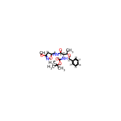 COC1=NOC(CNC(=O)[C@@H](NC(=O)OC(C)(C)C)[C@@H](C)OCc2ccccc2)C1